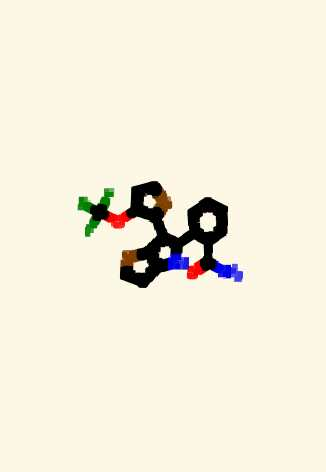 NC(=O)c1ccccc1-c1[nH]c2ccsc2c1-c1sccc1OC(F)(F)F